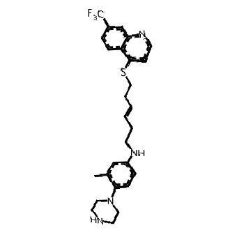 Cc1cc(NCC/C=C/CCSc2ccnc3cc(C(F)(F)F)ccc23)ccc1N1CCNCC1